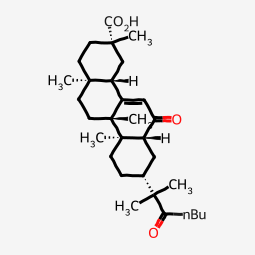 CCCCC(=O)C(C)(C)[C@@H]1CC[C@]2(C)[C@@H](C1)C(=O)C=C1[C@H]3C[C@@](C)(C(=O)O)CC[C@]3(C)CC[C@]12C